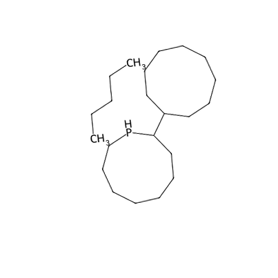 C1CCCCC(C2CCCCCCCP2)CCC1.CCCCC